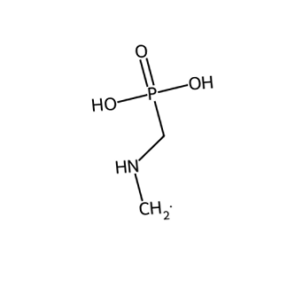 [CH2]NCP(=O)(O)O